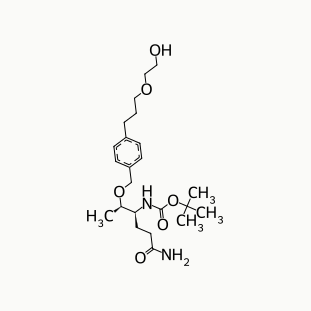 C[C@@H](OCc1ccc(CCCOCCO)cc1)[C@H](CCC(N)=O)NC(=O)OC(C)(C)C